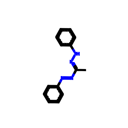 CC(N=Nc1ccccc1)=NNc1ccccc1